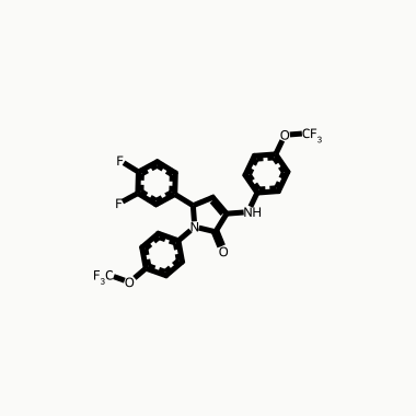 O=C1C(Nc2ccc(OC(F)(F)F)cc2)=CC(c2ccc(F)c(F)c2)N1c1ccc(OC(F)(F)F)cc1